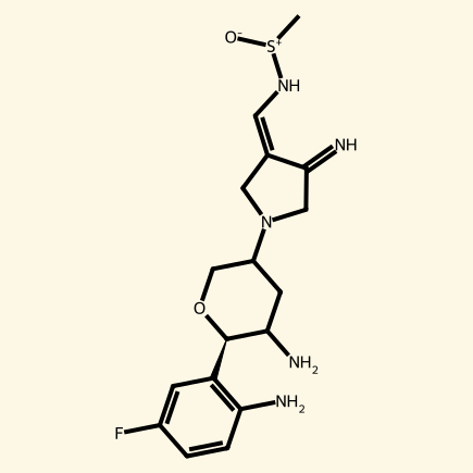 C[S+]([O-])N/C=C1/CN(C2CO[C@H](c3cc(F)ccc3N)C(N)C2)CC1=N